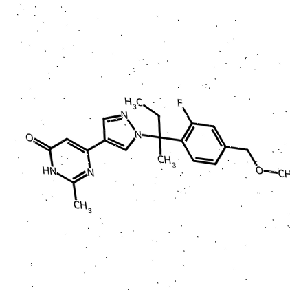 CCC(C)(c1ccc(COC)cc1F)n1cc(-c2cc(=O)[nH]c(C)n2)cn1